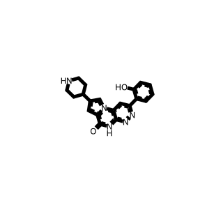 O=c1[nH]c2nnc(-c3ccccc3O)cc2n2cc(C3CCNCC3)cc12